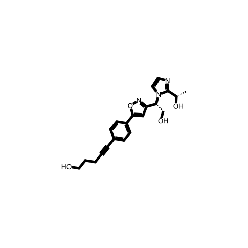 C[C@H](O)c1nccn1[C@H](CO)c1cc(-c2ccc(C#CCCCO)cc2)on1